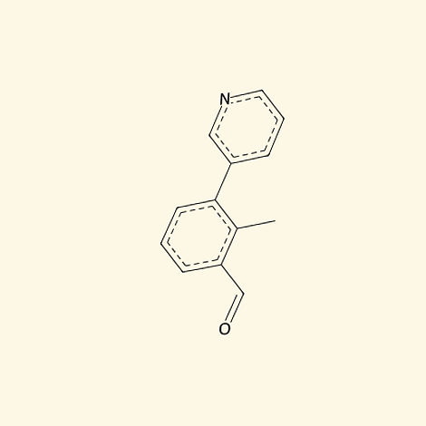 Cc1c(C=O)cccc1-c1cccnc1